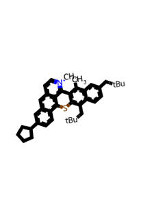 Cc1c2c(c(CC(C)(C)C)c3ccc(CC(C)(C)C)cc13)Sc1c3ccc(C4CCCC4)cc3cc3cc[n+](C)c-2c13